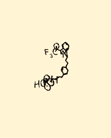 O=C(c1cn(CCCc2ccc(CCCCOP(=O)(O)O)cc2)c2ccccc12)C(F)(F)F